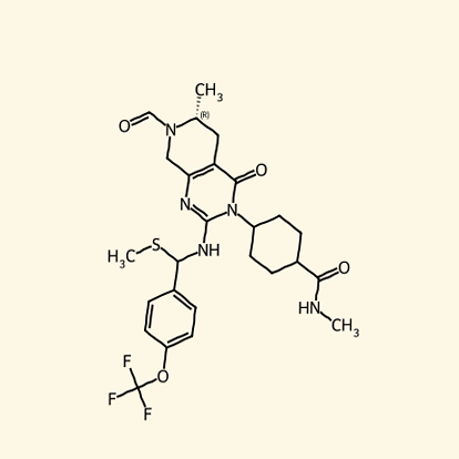 CNC(=O)C1CCC(n2c(NC(SC)c3ccc(OC(F)(F)F)cc3)nc3c(c2=O)C[C@@H](C)N(C=O)C3)CC1